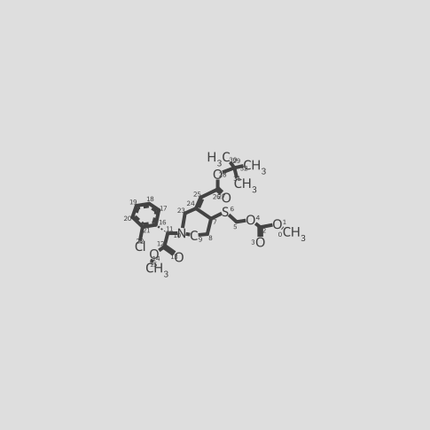 COC(=O)OCSC1CCN([C@H](C(=O)OC)c2ccccc2Cl)C/C1=C/C(=O)OC(C)(C)C